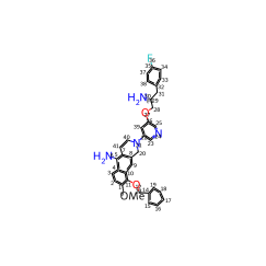 COc1ccc2c(N)c3c(cc2c1OCc1ccccc1)CN(c1cncc(OC[C@H](N)Cc2ccc(F)cc2)c1)C=C3